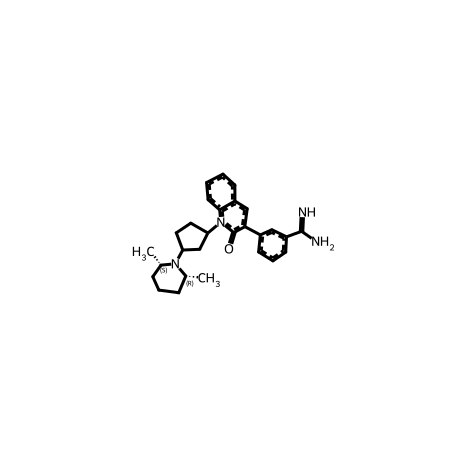 C[C@@H]1CCC[C@H](C)N1C1CCC(n2c(=O)c(-c3cccc(C(=N)N)c3)cc3ccccc32)C1